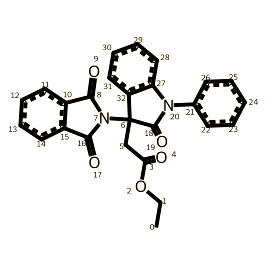 CCOC(=O)CC1(N2C(=O)c3ccccc3C2=O)C(=O)N(c2ccccc2)c2ccccc21